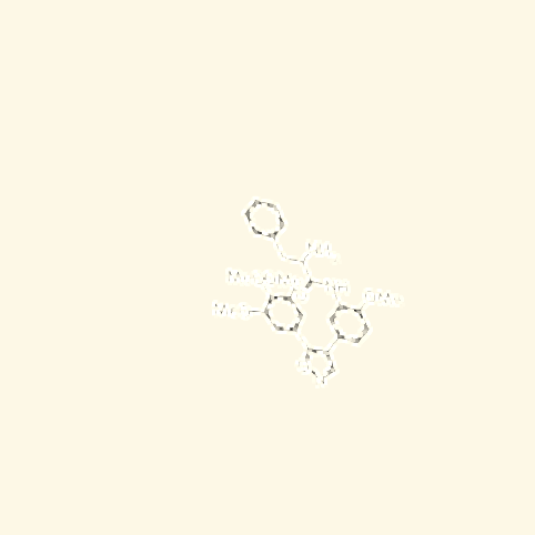 COc1ccc(-c2cnoc2-c2cc(OC)c(OC)c(OC)c2)cc1NC(=O)C(N)Cc1ccccc1